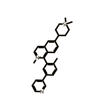 Cc1ccc(-c2cccnc2)cc1-c1c2ccc(C3CC[Si](C)(C)CC3)cc2cc[n+]1C